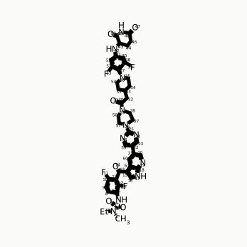 CCN(C)S(=O)(=O)Nc1ccc(F)c(C(=O)c2c[nH]c3ncc(-c4cnc(N5CCN(C(=O)CC6CCN(c7c(F)cc(NC8CCC(=O)NC8=O)cc7F)CC6)CC5)nc4)cc23)c1F